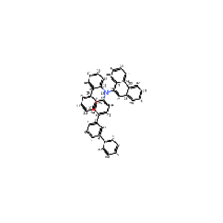 c1ccc(-c2cccc(-c3ccc(N(c4ccccc4-c4ccccc4)c4cc5ccccc5c5ccccc45)cc3)c2)cc1